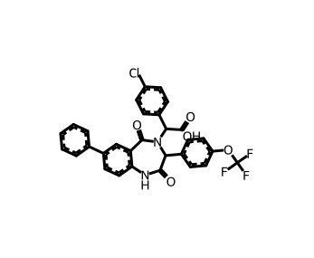 O=C(O)C(c1ccc(Cl)cc1)N1C(=O)c2cc(-c3ccccc3)ccc2NC(=O)C1c1ccc(OC(F)(F)F)cc1